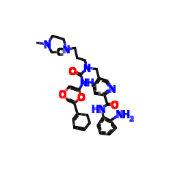 CN1CCN(CCCN(Cc2ccc(C(=O)Nc3ccccc3N)nc2)C(=O)NC2=COC=C(C3=CC=CCC3)O2)CC1